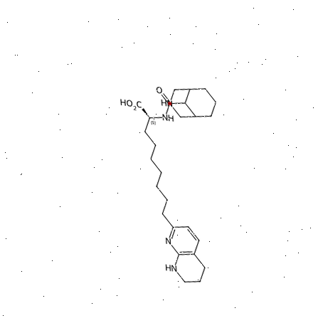 O=C(N[C@@H](CCCCCCCc1ccc2c(n1)NCCC2)C(=O)O)C1C2CCCC1CNC2